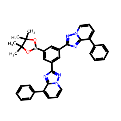 CC1(C)OB(c2cc(-c3nc4c(-c5ccccc5)cccn4n3)cc(-c3nc4c(-c5ccccc5)cccn4n3)c2)OC1(C)C